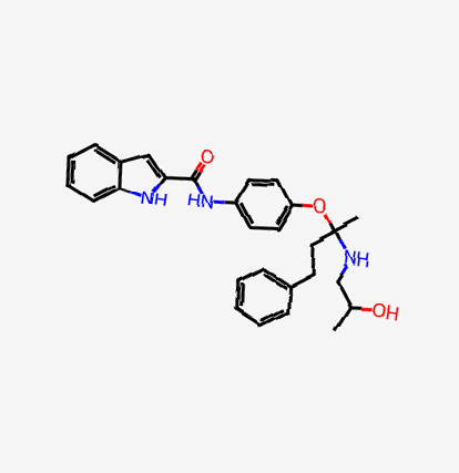 CC(O)CNC(C)(CCc1ccccc1)Oc1ccc(NC(=O)c2cc3ccccc3[nH]2)cc1